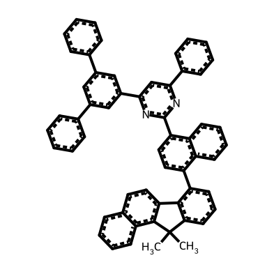 CC1(C)c2cccc(-c3ccc(-c4nc(-c5ccccc5)cc(-c5cc(-c6ccccc6)cc(-c6ccccc6)c5)n4)c4ccccc34)c2-c2ccc3ccccc3c21